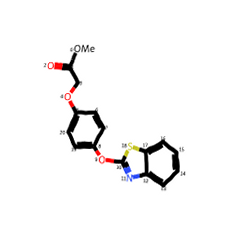 COC(=O)COc1ccc(Oc2nc3ccccc3s2)cc1